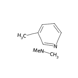 CNC.Cc1cccnc1